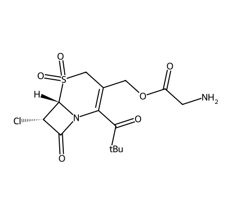 CC(C)(C)C(=O)C1=C(COC(=O)CN)CS(=O)(=O)[C@H]2[C@@H](Cl)C(=O)N12